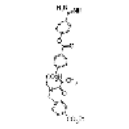 CCOC(=O)c1ccc(CN(CC(=O)O)C(=O)C(C)=Cc2ccc(C(=O)Oc3ccc(C(=N)N)cc3)cc2)cc1